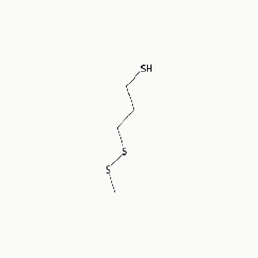 CSSCCCS